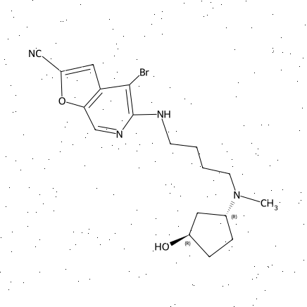 CN(CCCCNc1ncc2oc(C#N)cc2c1Br)[C@@H]1CC[C@@H](O)C1